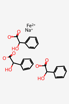 O=C([O-])C(O)c1ccccc1.O=C([O-])C(O)c1ccccc1.O=C([O-])C(O)c1ccccc1.[Fe+2].[Na+]